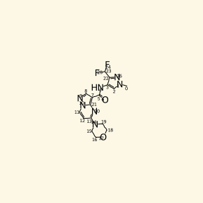 Cn1cc(NC(=O)c2cnn3ccc(N4CCOCC4)nc23)c(C(F)F)n1